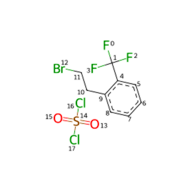 FC(F)(F)c1ccccc1CCBr.O=S(=O)(Cl)Cl